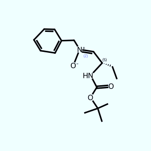 CC[C@@H](/C=[N+](\[O-])Cc1ccccc1)NC(=O)OC(C)(C)C